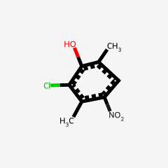 Cc1cc([N+](=O)[O-])c(C)c(Cl)c1O